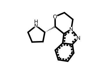 c1ccc2c3n(nc2c1)CCOC3[C@@H]1CCCN1